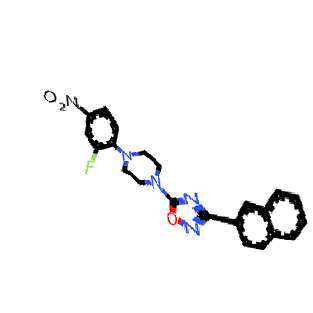 O=[N+]([O-])c1ccc(N2CCN(c3nc(-c4ccc5ccccc5c4)no3)CC2)c(F)c1